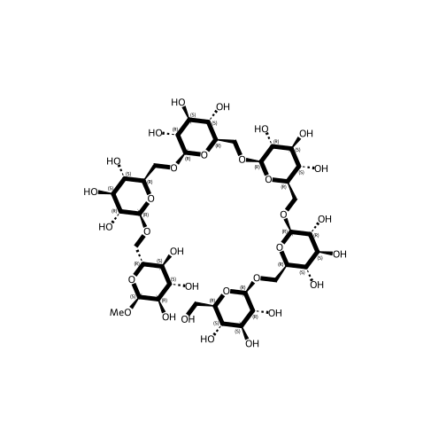 CO[C@H]1O[C@H](CO[C@@H]2O[C@H](CO[C@@H]3O[C@H](CO[C@@H]4O[C@H](CO[C@@H]5O[C@H](CO[C@@H]6O[C@H](CO)[C@@H](O)[C@H](O)[C@H]6O)[C@@H](O)[C@H](O)[C@H]5O)[C@@H](O)[C@H](O)[C@H]4O)[C@@H](O)[C@H](O)[C@H]3O)[C@@H](O)[C@H](O)[C@H]2O)[C@@H](O)[C@H](O)[C@H]1O